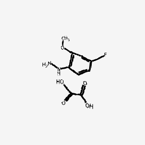 COc1cc(F)ccc1NN.O=C(O)C(=O)O